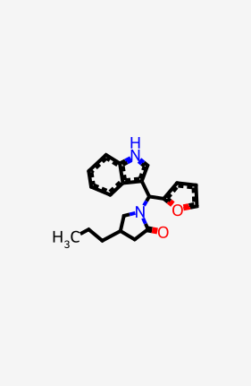 CCCC1CC(=O)N(C(c2ccco2)c2c[nH]c3ccccc23)C1